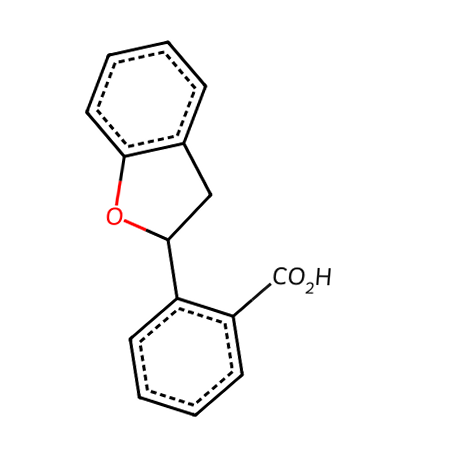 O=C(O)c1ccccc1C1Cc2ccccc2O1